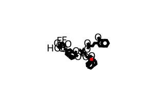 O=C(CCC1CC2CCCC(C2)C1=O)OCC1(COC(=O)C23CC4CC(C2)C(=O)C(C4)C3)COC2(OC1)C1CC3CC2CC(OC(=O)C(F)(F)S(=O)(=O)O)(C3)C1